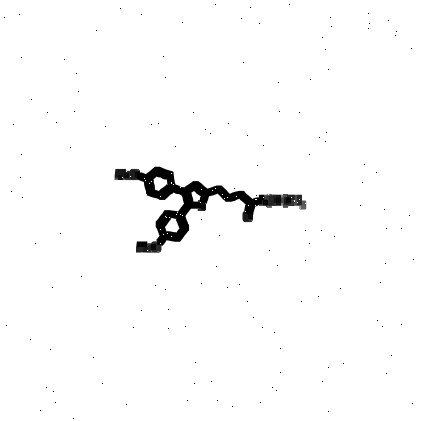 COc1ccc(-c2cc(CCCC(=O)N(C)O)sc2-c2ccc(OC)cc2)cc1